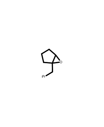 CC(C)CC12CCCC1O2